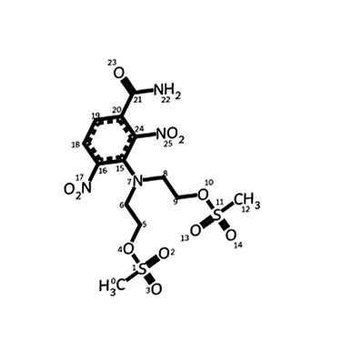 CS(=O)(=O)OCCN(CCOS(C)(=O)=O)c1c([N+](=O)[O-])ccc(C(N)=O)c1[N+](=O)[O-]